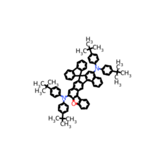 CC(C)(C)c1ccc(N(c2ccc(C(C)(C)C)cc2)c2cc3c(c4ccccc24)-c2cc4c(cc2C32c3ccccc3-c3ccccc32)cc(N(c2ccc(C(C)(C)C)cc2)c2ccc(C(C)(C)C)cc2)c2oc3ccccc3c24)cc1